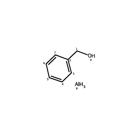 OCc1ccccc1.[AlH3]